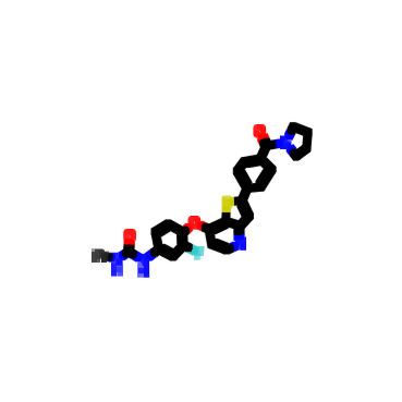 CC(C)NC(=O)Nc1ccc(Oc2ccnc3cc(-c4ccc(C(=O)N5CCCC5)cc4)sc23)c(F)c1